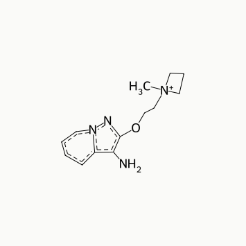 C[N+]1(CCOc2nn3ccccc3c2N)CCC1